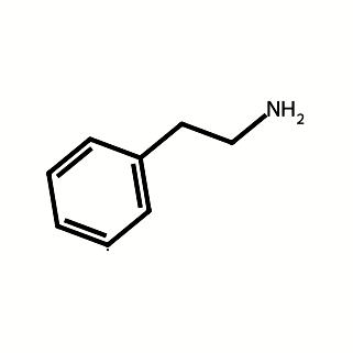 NCCc1c[c]ccc1